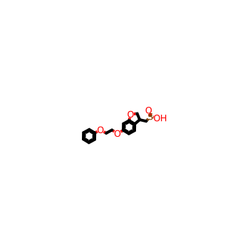 O=S(O)CC1COc2cc(OCCOc3ccccc3)ccc21